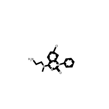 CN(CCN)c1nc(=O)n(-c2ccccc2)c2cc(Cl)ccc12